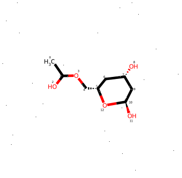 CC(O)OC[C@@H]1C[C@H](O)C[C@@H](O)O1